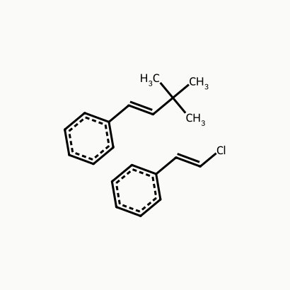 CC(C)(C)C=Cc1ccccc1.ClC=Cc1ccccc1